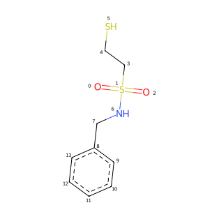 O=S(=O)(CCS)NCc1ccccc1